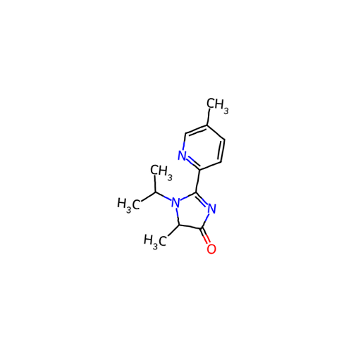 Cc1ccc(C2=NC(=O)C(C)N2C(C)C)nc1